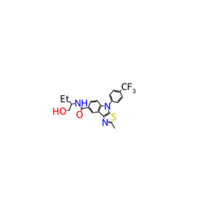 CC[C@H](CO)NC(=O)c1ccc2c(c1)c1nc(C)sc1n2-c1ccc(C(F)(F)F)cc1